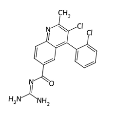 Cc1nc2ccc(C(=O)N=C(N)N)cc2c(-c2ccccc2Cl)c1Cl